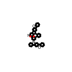 N#Cc1cc(-c2ccccc2C2c3ccccc3-c3cc4oc5ccccc5c4cc32)cc(-n2c3ccccc3c3cc4oc5ccccc5c4cc32)c1